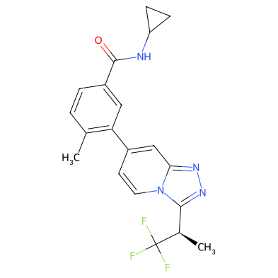 Cc1ccc(C(=O)NC2CC2)cc1-c1ccn2c([C@@H](C)C(F)(F)F)nnc2c1